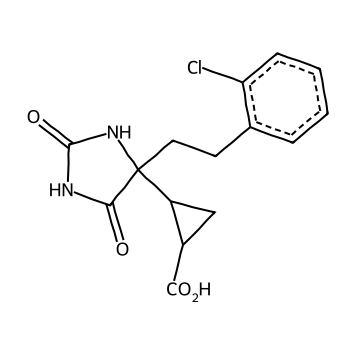 O=C1NC(=O)C(CCc2ccccc2Cl)(C2CC2C(=O)O)N1